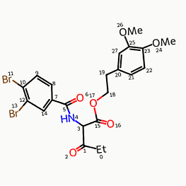 CCC(=O)C(NC(=O)c1ccc(Br)c(Br)c1)C(=O)OCCc1ccc(OC)c(OC)c1